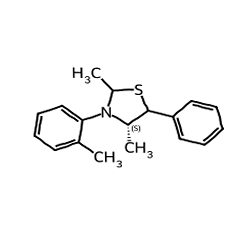 Cc1ccccc1N1C(C)SC(c2ccccc2)[C@@H]1C